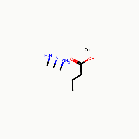 CCCC(=O)O.CN.CN.CN.[Cu]